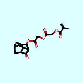 C=C(C)C(=O)OCC(=O)OCC(=O)OC1C2CC3CC(C2)C(=O)C1C3